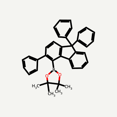 CC1(C)OB(c2c(-c3ccccc3)ccc3c2-c2ccccc2C3(c2ccccc2)c2ccccc2)OC1(C)C